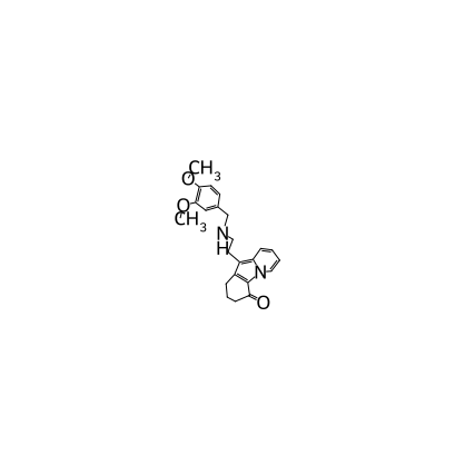 COc1ccc(CNCCc2c3c(n4ccccc24)C(=O)CCC3)cc1OC